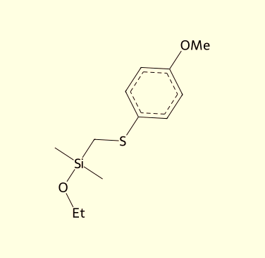 CCO[Si](C)(C)CSc1ccc(OC)cc1